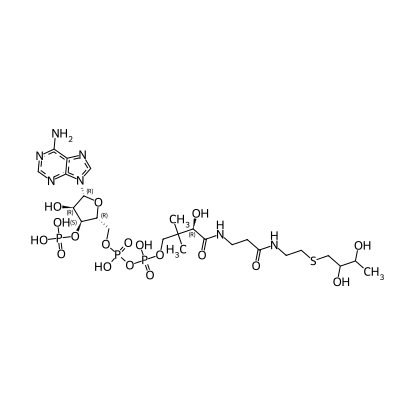 CC(O)C(O)CSCCNC(=O)CCNC(=O)[C@H](O)C(C)(C)COP(=O)(O)OP(=O)(O)OC[C@H]1O[C@@H](n2cnc3c(N)ncnc32)[C@H](O)[C@@H]1OP(=O)(O)O